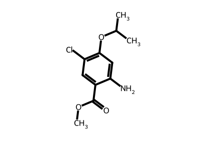 COC(=O)c1cc(Cl)c(OC(C)C)cc1N